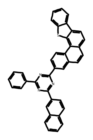 c1ccc(-c2nc(-c3ccc4ccccc4c3)nc(-c3ccc4c(ccc5ccc6c7ccccc7sc6c54)c3)n2)cc1